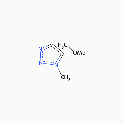 COC.Cn1ccnn1